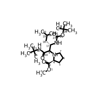 COC(=O)[C@@H]1CCCN1C(C(=O)NC(C)(C)C)[C@H](CC(C)C)NC(=O)OC(C)(C)C